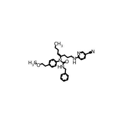 CCC/C=C(\CCCNc1ccc(C#N)cn1)N(C(=O)NCc1ccccc1)c1ccc(CCOC)cc1